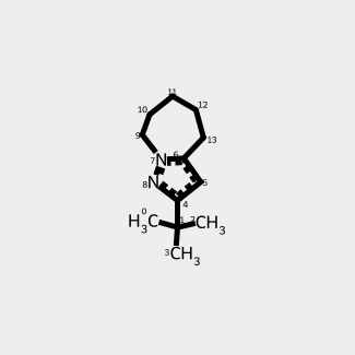 CC(C)(C)c1cc2n(n1)CCCCC2